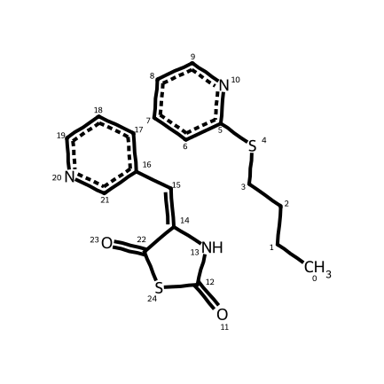 CCCCSc1ccccn1.O=C1NC(=Cc2cccnc2)C(=O)S1